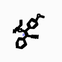 C=CC#N.COc1ccc(/C(Cl)=C(\C#N)c2ccccc2)cc1